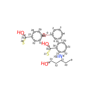 Brc1ccccc1.C#N.CCCCCO.OC(=S)c1ccccc1.OC(=S)c1ccccc1